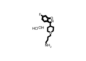 Cl.Cl.NCCCCN1CCC(c2noc3cc(F)ccc23)CC1